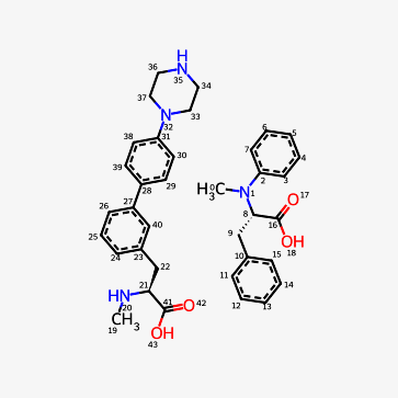 CN(c1ccccc1)[C@@H](Cc1ccccc1)C(=O)O.CN[C@@H](Cc1cccc(-c2ccc(N3CCNCC3)cc2)c1)C(=O)O